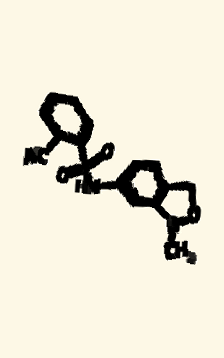 CB1OCc2ccc(NS(=O)(=O)c3ccccc3C#N)cc21